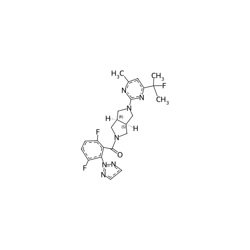 Cc1cc(C(C)(C)F)nc(N2C[C@H]3CN(C(=O)c4c(F)ccc(F)c4-n4nccn4)C[C@H]3C2)n1